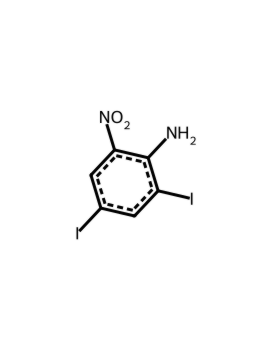 Nc1c(I)cc(I)cc1[N+](=O)[O-]